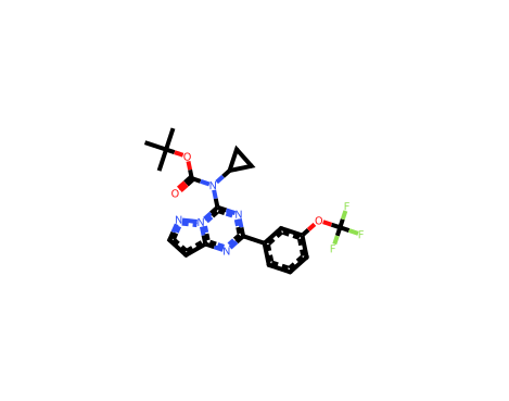 CC(C)(C)OC(=O)N(c1nc(-c2cccc(OC(F)(F)F)c2)nc2ccnn12)C1CC1